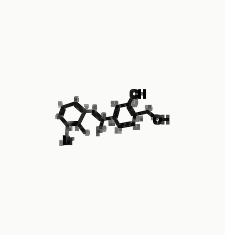 Cc1c(Br)cccc1/C=C(\F)c1ccc(CO)c(O)c1